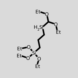 CCOC(OCC)[SiH2]CCC[Si](OCC)(OCC)OCC